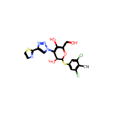 N#Cc1c(Cl)cc(SC2OC(CO)C(O)C(n3cc(-c4nccs4)nn3)[C@@H]2O)cc1Cl